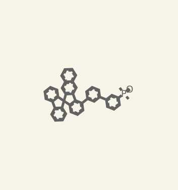 CP(C)(=O)c1cccc(-c2cccc(-c3cccc4c3-c3cc5ccccc5cc3C43c4ccccc4-c4ccccc43)c2)c1